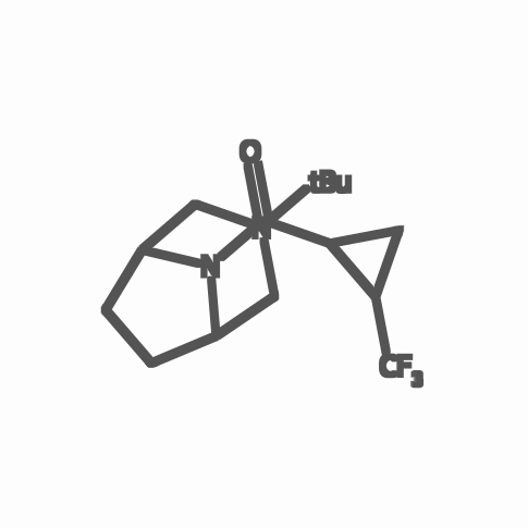 CC(C)(C)N1CC2CCC(C1)N2C(=O)C1CC1C(F)(F)F